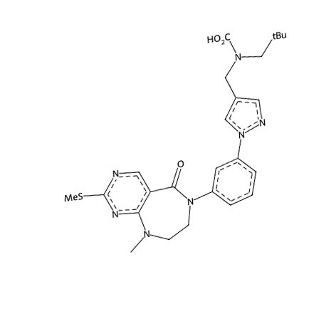 CSc1ncc2c(n1)N(C)CCN(c1cccc(-n3cc(CN(CC(C)(C)C)C(=O)O)cn3)c1)C2=O